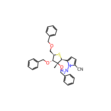 C[C@@]1(OCc2ccccc2)[C@H](OCc2ccccc2)[C@@H](COCc2ccccc2)S[C@H]1c1ccc(C#N)n1N